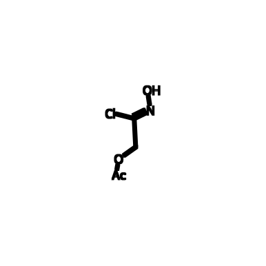 CC(=O)OCC(Cl)=NO